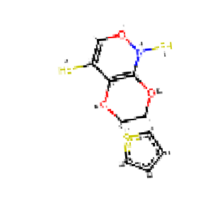 SC1=CON(S)C2=C1OCCO2.c1ccsc1